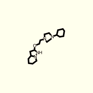 C1CCC(N2CCN(CCOC3CC4CCCCN4N3)CC2)CC1